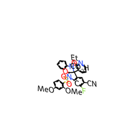 CCOc1ncccc1C1(N(C(=O)O)c2ccccc2)C(=O)N(S(=O)(=O)c2ccc(OC)cc2OC)c2cc(F)c(C#N)cc21